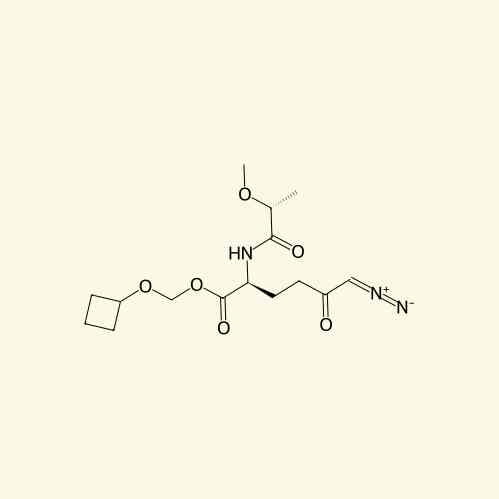 CO[C@H](C)C(=O)N[C@@H](CCC(=O)C=[N+]=[N-])C(=O)OCOC1CCC1